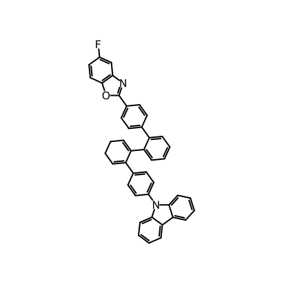 Fc1ccc2oc(-c3ccc(-c4ccccc4C4=CCCC=C4c4ccc(-n5c6ccccc6c6ccccc65)cc4)cc3)nc2c1